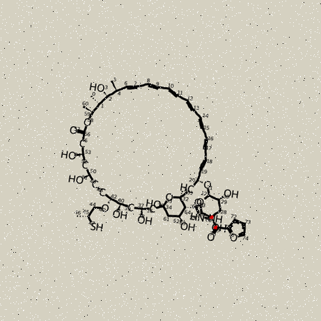 C[C@@H]1[C@H](O)[C@@H](C)/C=C/C=C/C=C/C=C/C=C/C=C/C=C/[C@H](OC2O[C@@H](C)[C@@H](O)C[C@@H]2O)C[C@@H]2O[C@](O)(C[C@@H](O)C[C@@H](O)[C@H](OC[C@@H](C)S)CC[C@@H](O)C[C@@H](O)CC(=O)O[C@H]1C)C[C@H](O)[C@H]2C(=O)NNC(=O)c1ccco1